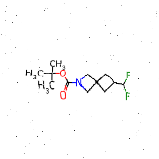 CC(C)(C)OC(=O)N1CC2(CC(C(F)F)C2)C1